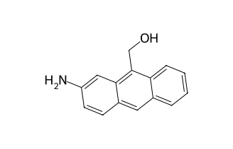 Nc1ccc2cc3ccccc3c(CO)c2c1